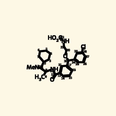 CNC(C1CCCCC1)C(C)NC(=O)c1cccc(C(OCCNC(=O)O)c2cccc(Cl)c2)c1